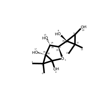 CC1(C)C2(O)O[C@H]([C@]3(O)C(O)C3(C)C)[C@@H](O)[C@]12O